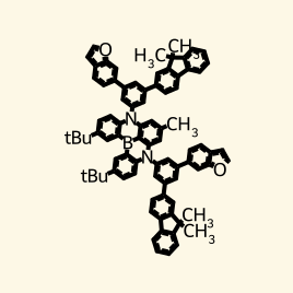 Cc1cc2c3c(c1)N(c1cc(-c4ccc5c(c4)C(C)(C)c4ccccc4-5)cc(-c4ccc5ccoc5c4)c1)c1ccc(C(C)(C)C)cc1B3c1cc(C(C)(C)C)ccc1N2c1cc(-c2ccc3c(c2)C(C)(C)c2ccccc2-3)cc(-c2ccc3ccoc3c2)c1